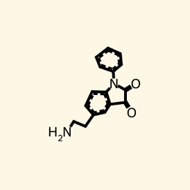 NCCc1ccc2c(c1)C(=O)C(=O)N2c1ccccc1